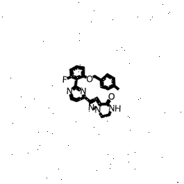 Cc1ccc(COc2cccc(F)c2-c2nccc(-c3cc4n(n3)CCNC4=O)n2)cc1